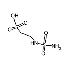 NS(=O)(=O)NCCS(=O)(=O)O